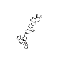 Cn1ccc2cnc(NC3C4CCC3CN(c3ccc(CN5CCC(O)(c6ccc7c(c6)CN(C6CCC(=O)NC6=O)C7=O)CC5)cc3)C4)nc21